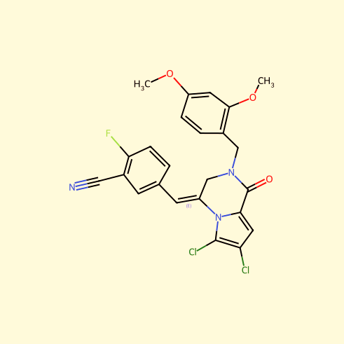 COc1ccc(CN2C/C(=C\c3ccc(F)c(C#N)c3)n3c(cc(Cl)c3Cl)C2=O)c(OC)c1